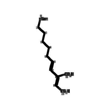 CCCCCCCCCCCCCC/C=C/C(=C/C(=O)O)C(=O)O